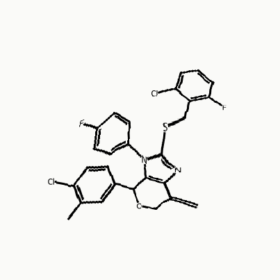 C=C1COC(c2ccc(Cl)c(C)c2)c2c1nc(SCc1c(F)cccc1Cl)n2-c1ccc(F)cc1